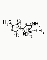 CC1=CC(=O)N(C(C)CC(N)[SiH](C)C)C1=O